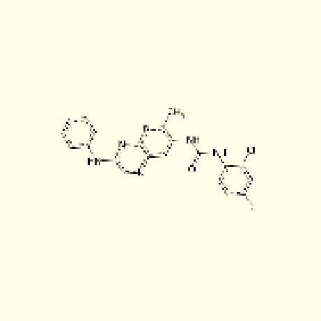 Cc1nc2nc(Nc3ccccc3)cnc2cc1NC(=O)Nc1ccc(Cl)cc1Cl